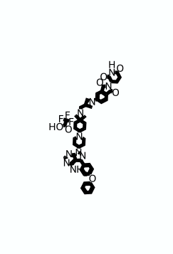 Nc1ncnc2c1c(-c1ccc(Oc3ccccc3)cc1)nn2C1CCN(C2CCC3(CC2)CN(CC2CN(c4ccc5c(c4)C(=O)N(C4CCC(=O)NC4=O)C5=O)C2)C3)CC1.O=C(O)C(F)(F)F